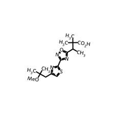 COC(C)(C)Cc1csc(-c2noc(C(C)C(C)(C)C(=O)O)n2)n1